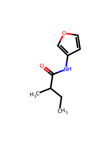 CCC(C)C(=O)Nc1ccoc1